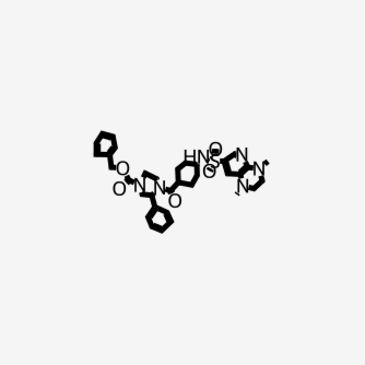 CN1CCN(C)c2ncc(S(=O)(=O)NC3CCC(C(=O)N4CCN(C(=O)OCc5ccccc5)CC4c4ccccc4)CC3)cc21